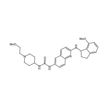 COCCN1CCC(NC(=O)Nc2ccc3nc(NC4CCc5cccc(OC)c54)ccc3c2)CC1